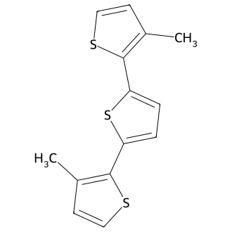 Cc1ccsc1-c1ccc(-c2sccc2C)s1